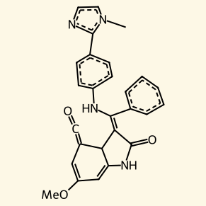 COC1=CC(=C=O)C2C(=C1)NC(=O)C2=C(Nc1ccc(-c2nccn2C)cc1)c1ccccc1